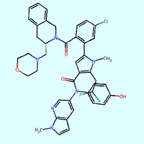 Cn1c(-c2cc(Cl)ccc2C(=O)N2Cc3ccccc3C[C@H]2CN2CCOCC2)cc(C(=O)N(c2ccc(O)cc2)c2cnc3c(ccn3C)c2)c1CC(F)F